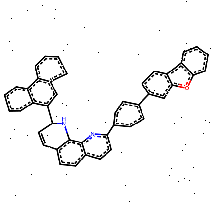 C1=CC(c2cc3ccccc3c3ccccc23)Nc2c1ccc1ccc(-c3ccc(-c4ccc5c(c4)oc4ccccc45)cc3)nc21